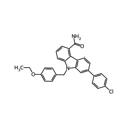 CCOc1ccc(Cn2c3cc(-c4ccc(Cl)cc4)c[c]c3c3c(C(N)=O)cccc32)cc1